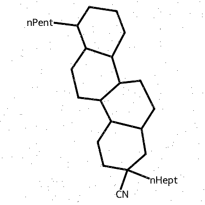 CCCCCCCC1(C#N)CCC2C(CCC3C4CCCC(CCCCC)C4CCC23)C1